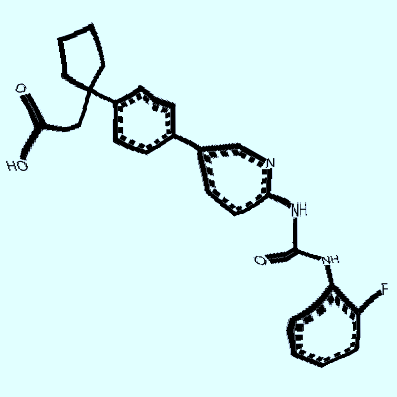 O=C(O)CC1(c2ccc(-c3ccc(NC(=O)Nc4ccccc4F)nc3)cc2)CCCC1